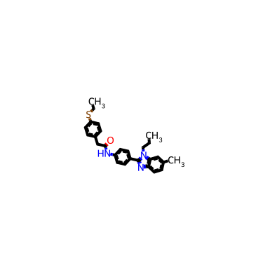 CCCn1c(-c2ccc(NC(=O)Cc3ccc(SCC)cc3)cc2)nc2ccc(C)cc21